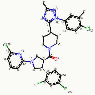 Cc1nc(C2CCN(C(=O)[C@@H]3CN(c4cccc(Cl)n4)C[C@H]3c3ccc(F)cc3F)CC2)n(-c2ccc(Cl)c(C)c2)n1